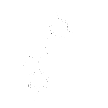 FC(F)(F)c1cc(CNC2CCc3cc(Br)ccc32)cc(C(F)(F)F)c1